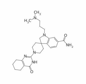 CN(C)CCCN1CC2(CCN(c3nc4c(c(=O)[nH]3)CCCC4)CC2)c2ccc(C(N)=O)cc21